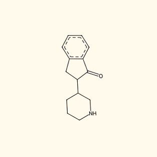 O=C1c2ccccc2CC1C1CCCNC1